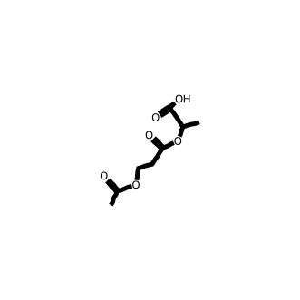 CC(=O)OCCC(=O)OC(C)C(=O)O